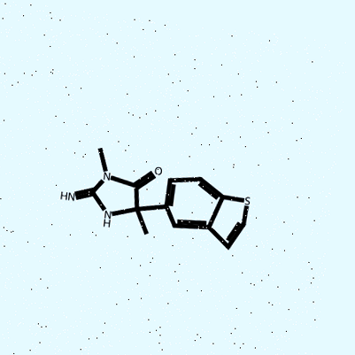 CN1C(=N)NC(C)(c2ccc3sccc3c2)C1=O